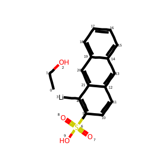 CCO.[Li][c]1c(S(=O)(=O)O)ccc2cc3ccccc3cc12